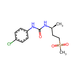 C[C@@H](CCS(C)(=O)=O)NC(=O)Nc1ccc(Cl)cc1